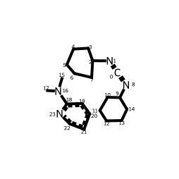 C(=NC1CCCCC1)=NC1CCCCC1.CN(C)c1ccccn1